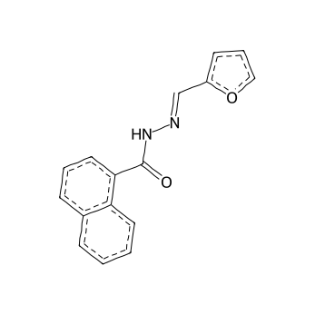 O=C(NN=Cc1ccco1)c1cccc2ccccc12